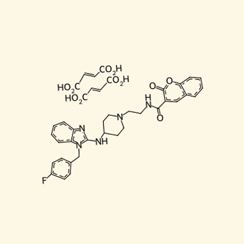 O=C(NCCN1CCC(Nc2nc3ccccc3n2Cc2ccc(F)cc2)CC1)c1cc2ccccc2oc1=O.O=C(O)/C=C/C(=O)O.O=C(O)C=CC(=O)O